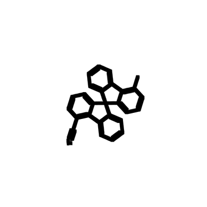 Cc1cccc2c1-c1ccccc1C21c2ccccc2-c2c(C#N)cccc21